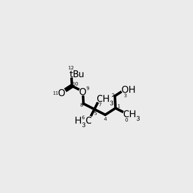 CC(CO)CC(C)(C)COC(=O)C(C)(C)C